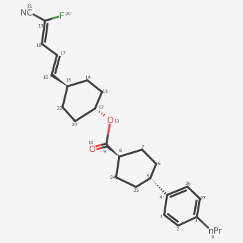 CCCc1ccc([C@H]2CC[C@H](C(=O)O[C@H]3CC[C@H](C=CC=C(F)C#N)CC3)CC2)cc1